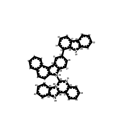 c1ccc2c(c1)ccc1c2c2cc(-c3cccc4c3sc3ccccc34)ccc2n1-c1nc2ccccc2c2nc3ccccc3n12